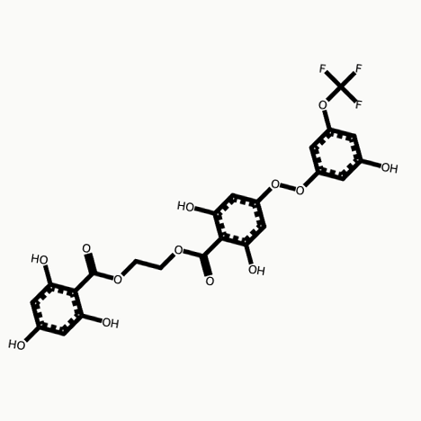 O=C(OCCOC(=O)c1c(O)cc(OOc2cc(O)cc(OC(F)(F)F)c2)cc1O)c1c(O)cc(O)cc1O